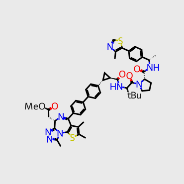 COC(=O)C[C@@H]1N=C(c2ccc(-c3ccc([C@@H]4C[C@H]4C(=O)NC(C(=O)N4CCC[C@H]4C(=O)N[C@@H](C)c4ccc(-c5scnc5C)cc4)C(C)(C)C)cc3)cc2)c2c(sc(C)c2C)-n2c(C)nnc21